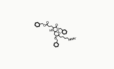 [N-]=[N+]=NCCCCC(=O)N(CC(=O)N[C@@H](CCC(=O)OCc1ccccc1)C(=O)OCc1ccccc1)OCc1ccccc1